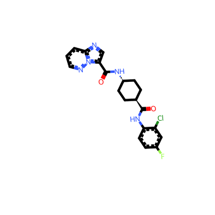 O=C(N[C@H]1CC[C@H](C(=O)Nc2ccc(F)cc2Cl)CC1)c1cnc2cccnn12